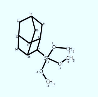 CO[Si](OC)(OC)C1C2CC3CC(C2)CC1C3